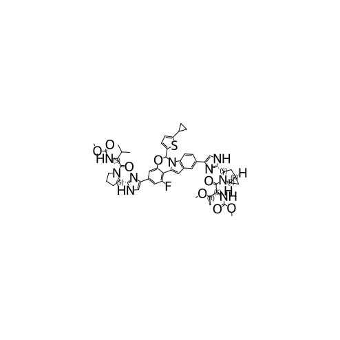 COC(=O)N[C@H](C(=O)N1CCC[C@H]1c1nc(-c2cc(F)c3c(c2)OC(c2ccc(C4CC4)s2)n2c-3cc3cc(-c4c[nH]c([C@@H]5C[C@H]6C[C@H]6N5C(=O)[C@@H](NC(=O)OC)[C@@H](C)OC)n4)ccc32)c[nH]1)C(C)C